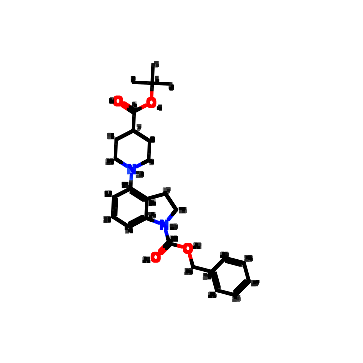 CC(C)(C)OC(=O)C1CCN(c2cccc3c2CCN3C(=O)OCc2ccccc2)CC1